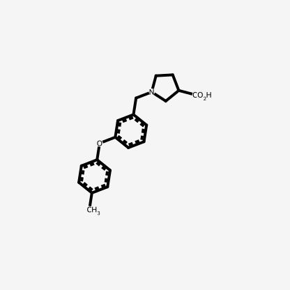 Cc1ccc(Oc2cccc(CN3CCC(C(=O)O)C3)c2)cc1